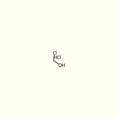 Cl.OCCl